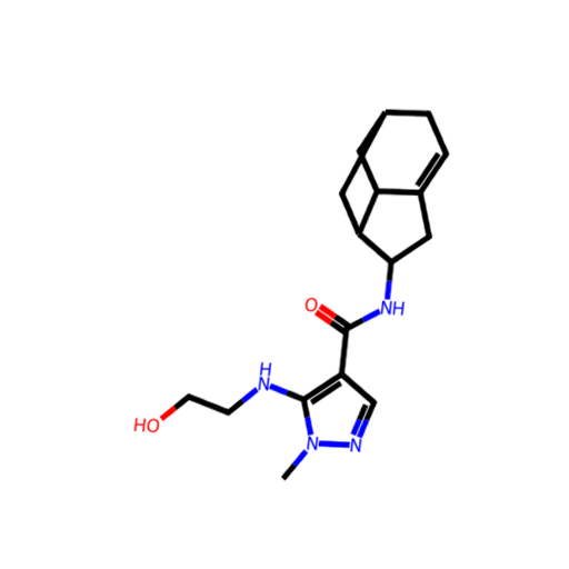 Cn1ncc(C(=O)NC2CC3=CCC4CC3C2C4)c1NCCO